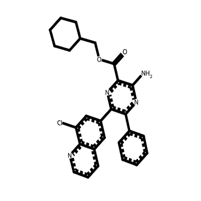 Nc1nc(-c2ccccc2)c(-c2cc(Cl)c3ncccc3c2)nc1C(=O)OCC1CCCCC1